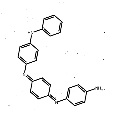 Nc1ccc(N=C2C=CC(=Nc3ccc(Nc4ccccc4)cc3)C=C2)cc1